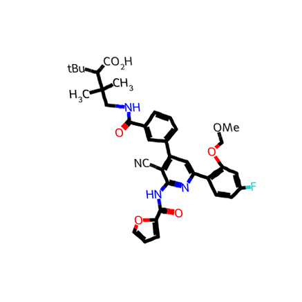 COCOc1cc(F)ccc1-c1cc(-c2cccc(C(=O)NCC(C)(C)C(C(=O)O)C(C)(C)C)c2)c(C#N)c(NC(=O)c2ccco2)n1